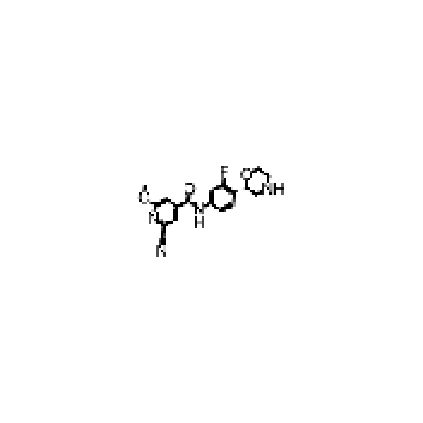 COc1cc(C(=O)Nc2ccc([C@H]3CNCCO3)c(F)c2)cc(C#N)n1